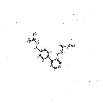 CCCCCCCCC(=O)NCc1ccccc1-c1ccc(COC(=O)CC)cc1